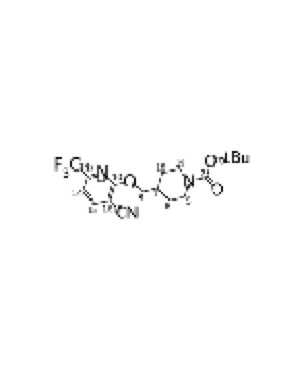 CC(C)(C)OC(=O)N1CCC(COc2nc(C(F)(F)F)ccc2C#N)CC1